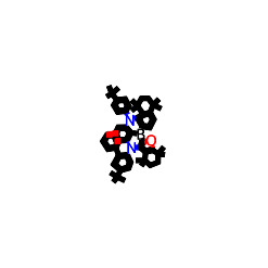 Cc1cc2c3c(c1)N(c1ccc(C(C)(C)C)cc1-c1ccccc1)c1c(oc4c1C(C)(C)CCC4(C)C)B3c1ccc3c(c1N2c1ccc(C(C)(C)C)cc1)C(C)(C)CCC3(C)C